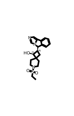 CCS(=O)(=O)N1CCC2(CC1)C[C@H](C1c3ccccc3-c3cncn31)[C@@H]2O